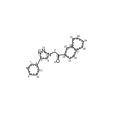 O=C(Cn1cc(-c2ccccc2)nn1)c1ccc2ccccc2c1